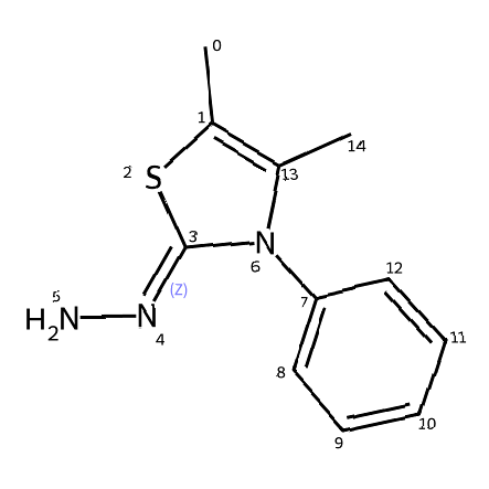 Cc1s/c(=N\N)n(-c2ccccc2)c1C